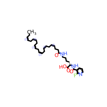 CC/C=C\C/C=C\C/C=C\C/C=C\C/C=C\C/C=C\CCC(=O)NCCCC[C@H](NC(=O)c1cccnc1F)C(=O)O